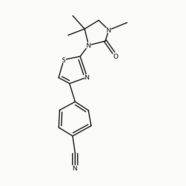 CN1CC(C)(C)N(c2nc(-c3ccc(C#N)cc3)cs2)C1=O